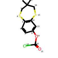 CC1(C)CSc2ccc(OC(=O)Cl)cc2SC1